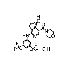 Cl.Cn1ccc2c(Nc3cc(C(F)(F)F)cc(C(F)(F)F)c3)ncc(C(=O)N3CCOCC3)c21